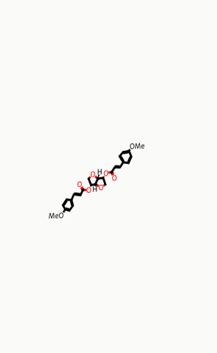 COc1ccc(/C=C/C(=O)O[C@H]2CO[C@H]3[C@@H]2OC[C@H]3OC(=O)/C=C/c2ccc(OC)cc2)cc1